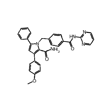 COc1ccc(-c2cc(-c3ccccc3)n(Cc3ccc(C(=O)Nc4ncccn4)cc3)c2C(N)=O)cc1